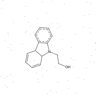 OCCN1c2ccccc2C2C=CC=CC21